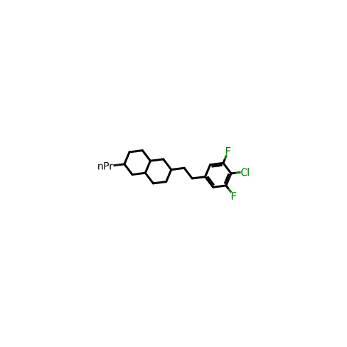 CCCC1CCC2CC(CCc3cc(F)c(Cl)c(F)c3)CCC2C1